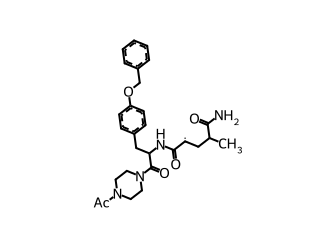 CC(=O)N1CCN(C(=O)C(Cc2ccc(OCc3ccccc3)cc2)NC(=O)[CH]CC(C)C(N)=O)CC1